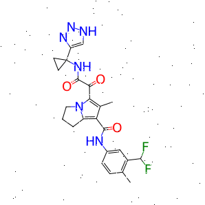 Cc1ccc(NC(=O)c2c(C)c(C(=O)C(=O)NC3(c4c[nH]nn4)CC3)n3c2CCC3)cc1C(F)F